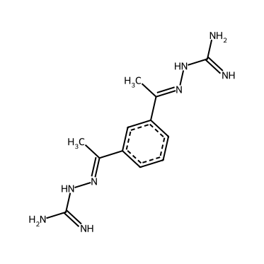 C/C(=N\NC(=N)N)c1cccc(/C(C)=N/NC(=N)N)c1